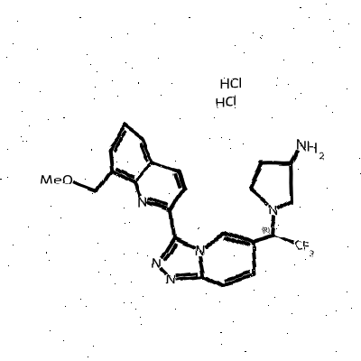 COCc1cccc2ccc(-c3nnc4ccc([C@@H](N5CCC(N)C5)C(F)(F)F)cn34)nc12.Cl.Cl